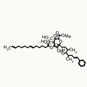 CC=CCCCCC=CCCCCC(=O)O[C@@H]1[C@@H](O)[C@@]2(CCC(C)C(O)C(C)CC=Cc3ccccc3)O[C@H](C(=O)OC)[C@@](O)(C(=O)O)[C@]1(C(=O)O)O2